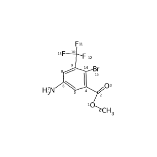 COC(=O)c1cc(N)cc(C(F)(F)F)c1Br